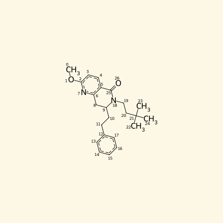 COc1ccc2c(n1)CC(CCc1ccccc1)N(CCC(C)(C)C)C2=O